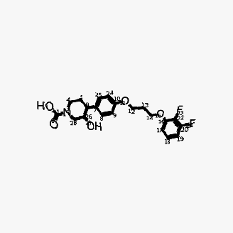 O=C(O)N1CCC(c2ccc(OCCCOc3cccc(F)c3F)cc2)C(O)C1